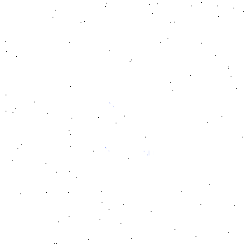 Cc1cc(Sc2cnc(Nc3ccccc3)c(-c3ccsc3)n2)co1